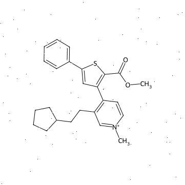 COC(=O)c1sc(-c2ccccc2)cc1-c1cc[n+](C)cc1CCC1CCCC1